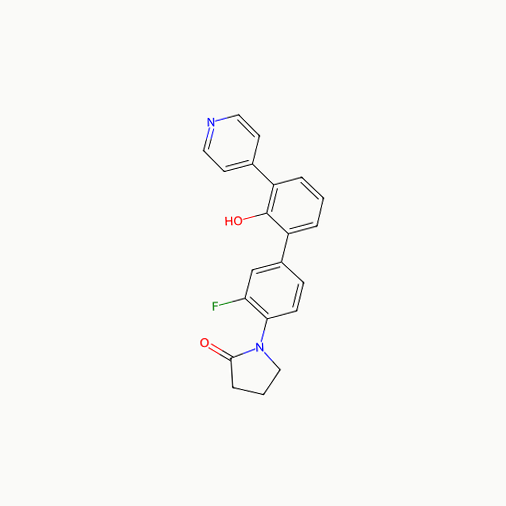 O=C1CCCN1c1ccc(-c2cccc(-c3ccncc3)c2O)cc1F